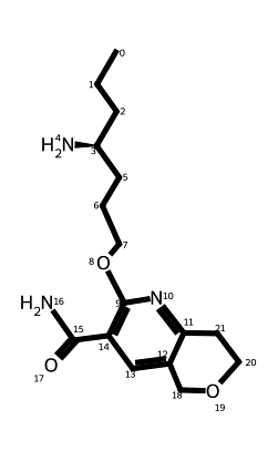 CCC[C@H](N)CCCOc1nc2c(cc1C(N)=O)COCC2